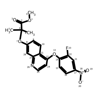 COC(=O)C(C)(C)Oc1ccc2c(Oc3ccc([N+](=O)[O-])cc3F)ccnc2c1